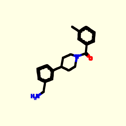 Cc1cccc(C(=O)N2CCC(c3cccc(CN)c3)CC2)c1